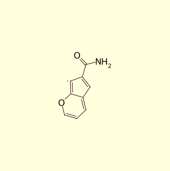 NC(=O)c1[c]c2occcc-2c1